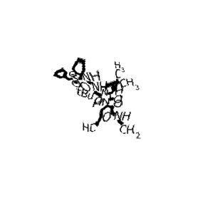 C#CCCC(NC(=O)[C@@H]1[C@@H]2C(CN1C(=O)[C@@H](NC(=O)NC1(CS(=O)(=O)Cc3ccccc3)CCCCC1)C(C)(C)C)C2(C)C)C(=O)C(=O)NCC=C